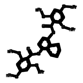 CCCOc1cc(OCCC)c(C(=O)Oc2ccc(OC(=O)c3c(OCCC)cc(OCCC)cc3OCCC)c3ccccc23)c(OCCC)c1